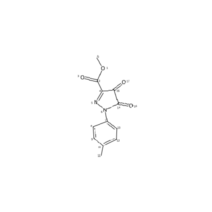 COC(=O)C1=NN(c2ccc(C)cc2)C(=O)C1=O